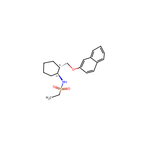 CCS(=O)(=O)N[C@H]1CCCC[C@@H]1COc1ccc2ccccc2c1